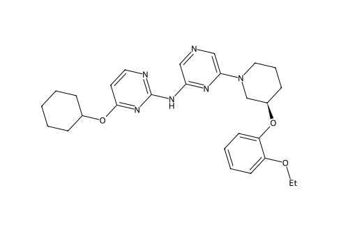 CCOc1ccccc1O[C@@H]1CCCN(c2cncc(Nc3nccc(OC4CCCCC4)n3)n2)C1